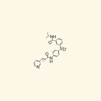 CC(C)NC(=O)c1cccc([S+]([O-])c2ccc(NC(=O)/C=C/c3cccnc3)cc2)c1